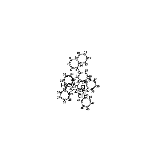 CC1=Cc2c(-c3cccc4ccccc34)cccc2[CH]1[Zr]([Cl])([Cl])([CH]1c2ccccc2-c2ccccc21)=[Si](c1ccccc1)c1ccccc1